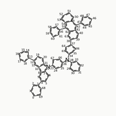 c1ccc(-c2ccc3c(c2)c2cc(-c4ccccc4)ccc2n3-c2ccc(N(c3ccccc3)c3ccc(-c4ccc5c(-c6ccccc6)c6ccccc6c(-c6ccccc6)c5c4)cc3)cc2)cc1